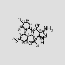 CSc1ccc(C2N(c3ccc(C)c(C)c3)C(=O)c3c(N)n[nH]c3N2C(C)=O)cc1